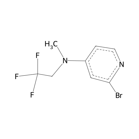 CN(CC(F)(F)F)c1ccnc(Br)c1